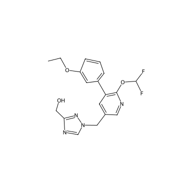 CCOc1cccc(-c2cc(Cn3cnc(CO)n3)cnc2OC(F)F)c1